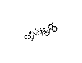 Cc1ccc(-n2ccnc2SC(C)(C)C(=O)NC(C(=O)O)C(C)C)c2ccccc12